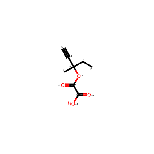 C#CC(C)(CC)OC(=O)C(=O)O